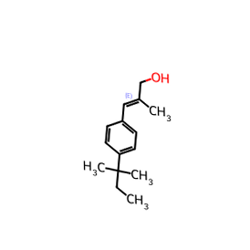 CCC(C)(C)c1ccc(/C=C(\C)CO)cc1